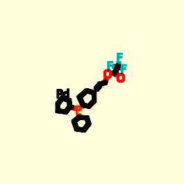 C1CCC(P(C2CCCCC2)C2CCCCC2)CC1.C=CCOC(=O)C(F)(F)F.[Pd]